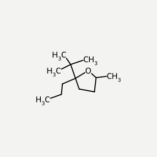 CCCC1(C(C)(C)C)CCC(C)O1